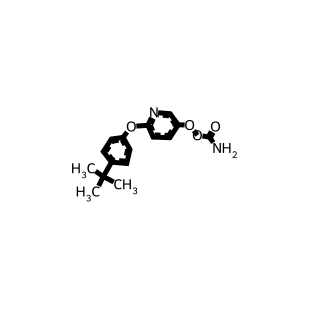 CC(C)(C)c1ccc(Oc2ccc(OOC(N)=O)cn2)cc1